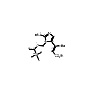 CCCC/C(=C\C(=O)OCC)c1cnc(CCCC)n1COC(C)[Si](C)(C)C